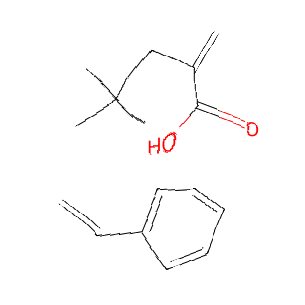 C=C(CC(C)(C)C)C(=O)O.C=Cc1ccccc1